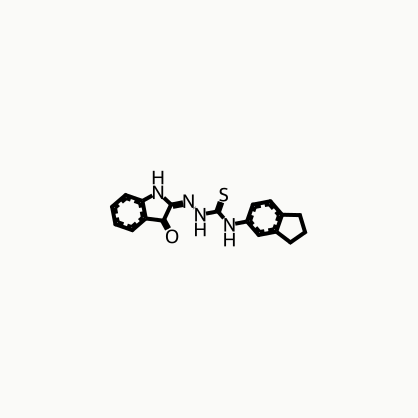 O=C1C(=NNC(=S)Nc2ccc3c(c2)CCC3)Nc2ccccc21